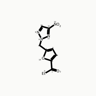 CCC(=O)c1ccc(Cn2ncc([N+](=O)[O-])n2)o1